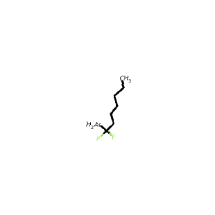 CCCCCCC(F)(F)[AsH2]